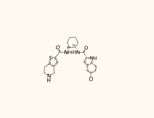 O=C(N[C@H]1CCCC[C@H]1NC(=O)c1cc2c(s1)CCNC2)c1cc2cc(Cl)ccc2[nH]1